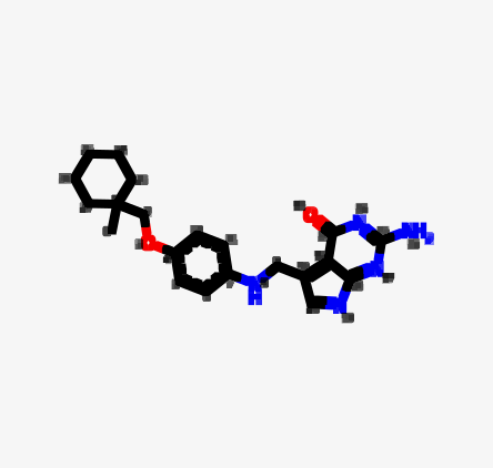 CC1(COc2ccc(NCC3=C4C(=O)N=C(N)N=C4N=C3)cc2)CCCCC1